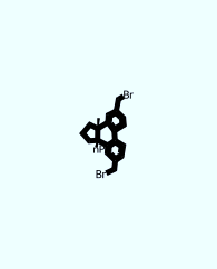 CCC[C@@]12CCC[C@]1(C)c1cc(CBr)ccc1-c1ccc(CBr)cc12